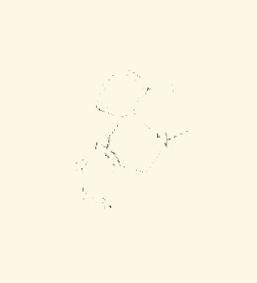 CN1Cc2ncnn2-c2cccc(Br)c21